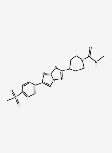 CN(C)C(=O)N1CCC(c2nn3cc(-c4ccc(S(C)(=O)=O)cc4)nc3s2)CC1